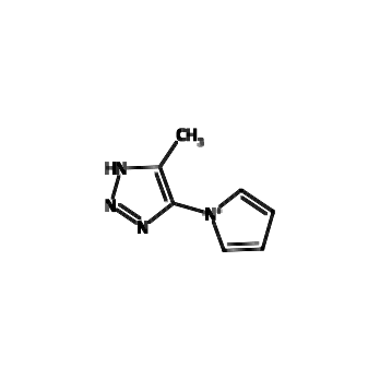 Cc1[nH]nnc1[N+]1C=CC=C1